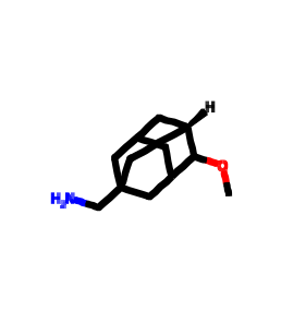 COC1C2CC3C[C@H]1CC(CN)(C3)C2